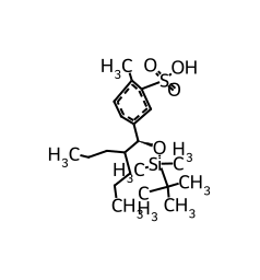 CCCC(CCC)[C@H](O[Si](C)(C)C(C)(C)C)c1ccc(C)c(S(=O)(=O)O)c1